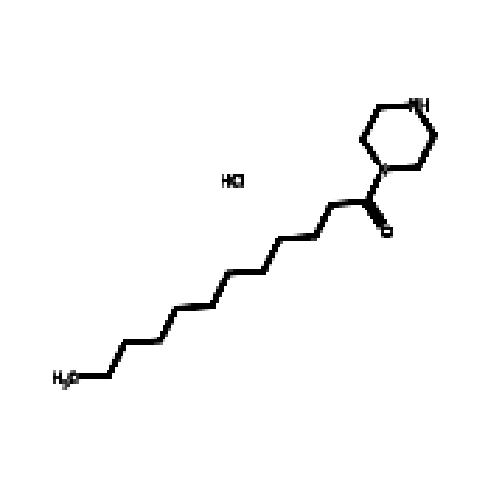 CCCCCCCCCCCC(=O)N1CCNCC1.Cl